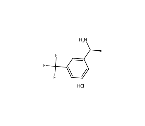 C[C@H](N)c1cccc(C(F)(F)F)c1.Cl